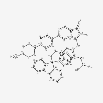 Cn1c(=O)c2ccc(-c3cnc(N4CCN(C(=O)O)CC4)nc3)cc2n1Cc1cc(COC(c2ccccc2)(c2ccccc2)c2ccccc2)ccc1OC(F)F